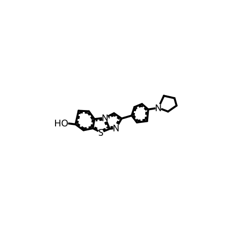 Oc1ccc2c(c1)sc1nc(-c3ccc(N4CCCC4)cc3)cn12